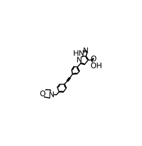 O=C(O)c1cc(-c2ccc(C#Cc3ccc(CN4CCOCC4)cc3)cc2)nc2[nH]ncc12